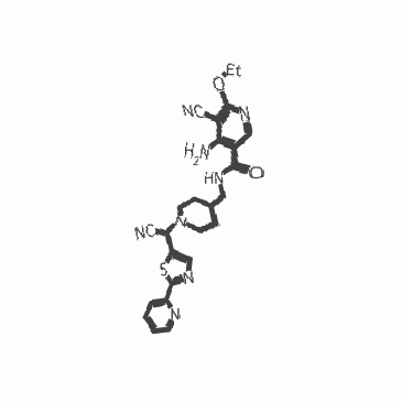 CCOc1ncc(C(=O)NCC2CCN(C(C#N)c3cnc(-c4ccccn4)s3)CC2)c(N)c1C#N